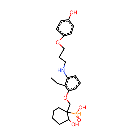 CCc1c(NCCCOc2ccc(O)cc2)cccc1OCC1([PH](=O)O)CCCCC1O